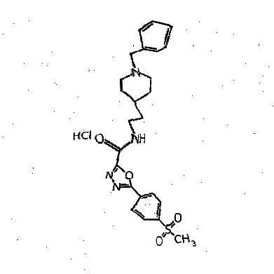 CS(=O)(=O)c1ccc(-c2nnc(C(=O)NCCC3CCN(Cc4ccccc4)CC3)o2)cc1.Cl